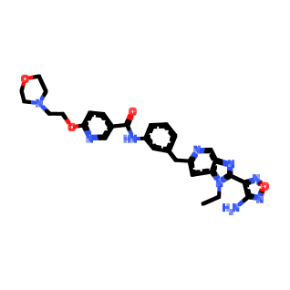 CCn1c(-c2nonc2N)nc2cnc(Cc3cccc(NC(=O)c4ccc(OCCN5CCOCC5)nc4)c3)cc21